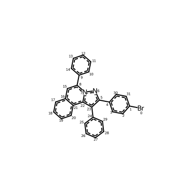 Brc1ccc(-c2nn3c(-c4ccccc4)cc4ccccc4c3c2-c2ccccc2)cc1